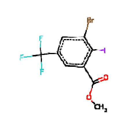 COC(=O)c1cc(C(F)(F)F)cc(Br)c1I